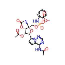 COC(=O)[C@H](C)NP(=O)(OC[C@@]1(C#N)O[C@@H](c2ccc3c(NC(C)=O)ncnn23)[C@H](OC(C)=O)[C@@H]1OC(C)=O)Oc1ccccc1